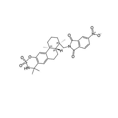 CC1(C)NS(=O)(=O)Oc2cc3c(cc21)CC[C@H]1[C@](C)(CN2C(=O)c4ccc([N+](=O)[O-])cc4C2=O)CCC[C@]31C